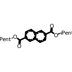 CCC[C@@H](C)OC(=O)c1ccc2cc(C(=O)O[C@H](C)CCC)ccc2c1